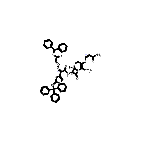 NC(=O)/C=C\SC1=C(C(=O)O)N2C(=O)[C@@H](NC(=O)/C(=N\OCC(=O)OC(c3ccccc3)c3ccccc3)c3csc(NC(c4ccccc4)(c4ccccc4)c4ccccc4)n3)[C@@H]2SC1